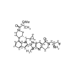 CO[C@H](C)C(=O)N1CCC(c2cccc3cc(-c4nc5cc6c(nc5n4C)CCN(C[C@H](N)CF)C6=O)n(CC4CC4)c23)CC1